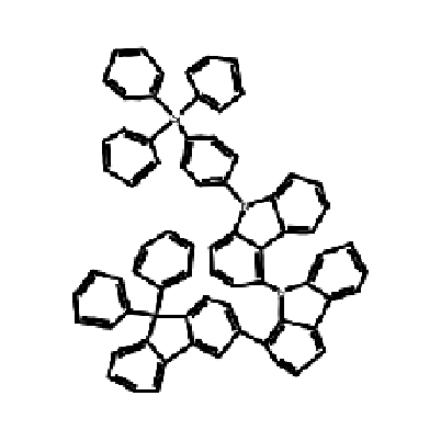 c1ccc(C2(c3ccccc3)c3ccccc3-c3cc(-c4cccc5c6ccccc6n(-c6cccc7c6c6ccccc6n7-c6ccc([Si](c7ccccc7)(c7ccccc7)c7ccccc7)cc6)c45)ccc32)cc1